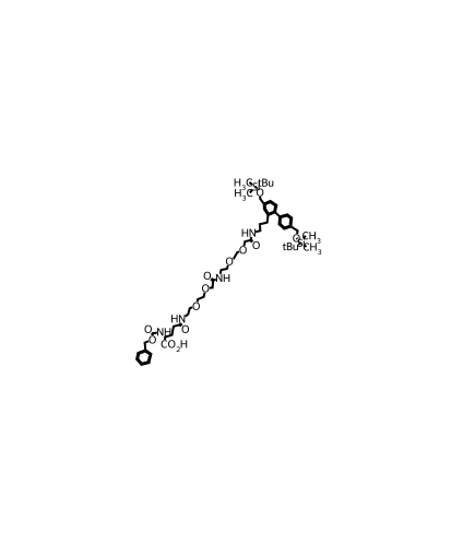 CC(C)(C)[Si](C)(C)OCc1ccc(-c2ccc(CO[Si](C)(C)C(C)(C)C)cc2CCCNC(=O)COCCOCCNC(=O)COCCOCCNC(=O)CCC(NC(=O)OCc2ccccc2)C(=O)O)cc1